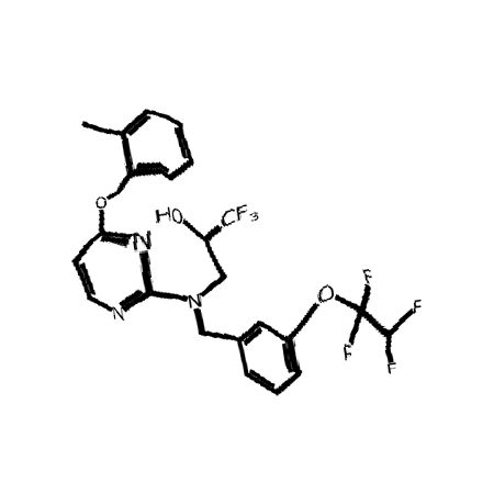 Cc1ccccc1Oc1ccnc(N(Cc2cccc(OC(F)(F)C(F)F)c2)CC(O)C(F)(F)F)n1